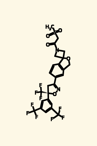 CS(=O)(=O)CC(=O)N1CC2(C1)OCc1cc(C3=NO[C@](c4cc(C(F)(F)F)cc(C(F)(F)F)c4)(C(F)(F)F)C3)ccc12